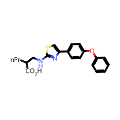 CCCC(CNc1nc(-c2ccc(Oc3ccccc3)cc2)cs1)C(=O)O